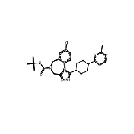 Cc1nccc(C2CCC(c3nnc4n3-c3ccc(Cl)cc3CN(C(=O)OC(C)(C)C)C4)CC2)n1